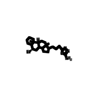 CC[C@H]1CC2C3CCC(CCCc4nnc(N)o4)C3(C)CC[C@@H]2C2(C)CCCCC12